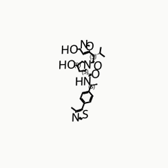 Cc1ncsc1-c1ccc([C@H](C)NC(=O)[C@@H]2C[C@@H](O)CN2C(=O)[C@H](c2cc(O)no2)C(C)C)cc1